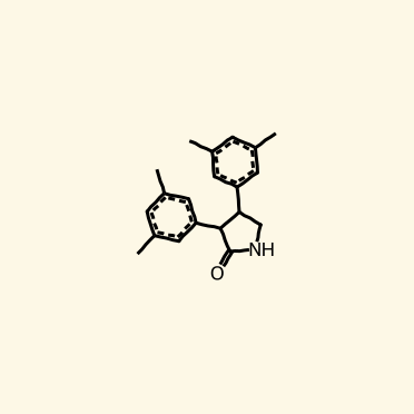 Cc1cc(C)cc(C2CNC(=O)C2c2cc(C)cc(C)c2)c1